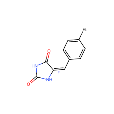 CCc1ccc(/C=C2/NC(=O)NC2=O)cc1